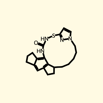 O=C1NSc2ccn(n2)CCCCCC2CCc3cc4c(c(c32)N1)CCC4